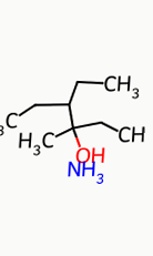 CCC(CC)C(C)(O)CC.N